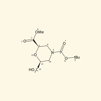 COC(=O)[C@H]1CN(C(=O)OC(C)(C)C)C[C@@H](C(=O)O)O1